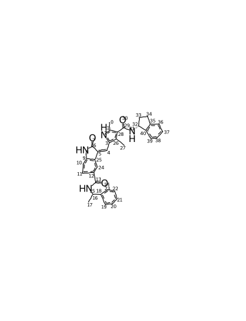 Cc1[nH]c(/C=C2\C(=O)Nc3ccc(C(=O)NC(C)c4ccccc4)cc32)c(C)c1C(=O)N[C@@H]1CCc2ccccc21